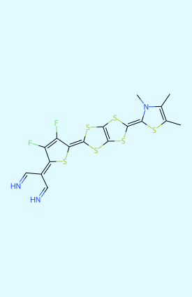 CC1=C(C)N(C)C(=C2SC3=C(S2)SC(=c2sc(=C(C=N)C=N)c(F)c2F)S3)S1